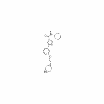 CN(C(=O)n1cnc(-c2cccc(OCCN3CCNCC3)c2)c1)C1CCCCC1